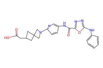 O=C(O)CC1CC2(C1)CN(c1ccc(NC(=O)c3nnc(Nc4ccccc4)o3)cn1)C2